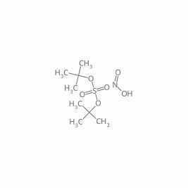 CC(C)(C)OS(=O)(=O)OC(C)(C)C.O=NO